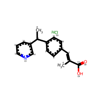 C/C(=C\c1ccc(C(C)c2cccnc2)cc1)C(=O)O.Cl